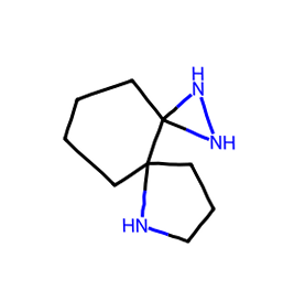 C1CCC2(NN2)C2(C1)CCCN2